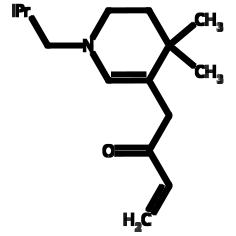 C=CC(=O)CC1=CN(CC(C)C)CCC1(C)C